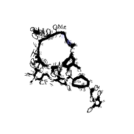 CO[C@@H]1/C=C/C=C(\C)Cc2cc(C)c(Cl)c(c2)N(C)C(=O)C[C@H](OC(=O)[C@H](C)N(C)C(CCSC2CC(=O)N(C[C@H]3CC[C@H](C(=O)ON4C(=O)CCC4=O)CC3)C2=O)C(F)(F)F)[C@]2(C)O[C@H]2[C@H](C)C2C[C@@]1(O)NC(=O)O2